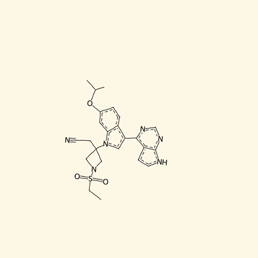 CCS(=O)(=O)N1CC(CC#N)(n2cc(-c3ncnc4[nH]ccc34)c3ccc(OC(C)C)cc32)C1